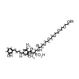 CCOCCOCCOCCOCCOCCOCCC(=O)NC[C@H](NC(=O)c1c(C)nc(NCCCc2cccc(O)c2)nc1C)C(=O)O